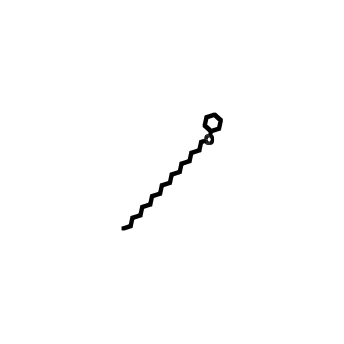 CCCCCCCCCCCCCCCCCOC1CCCCC1